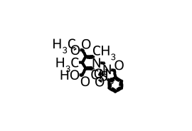 COC(=O)C1=C(C)N(CN2C(=O)c3ccccc3S2(=O)=O)C(C)=C(C(=O)O)C1C